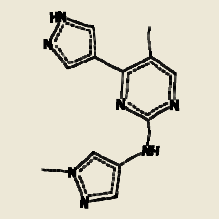 Cc1cnc(Nc2cnn(C)c2)nc1-c1cn[nH]c1